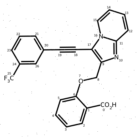 O=C(O)c1ccccc1OCc1nc2ccccn2c1C#Cc1cccc(C(F)(F)F)c1